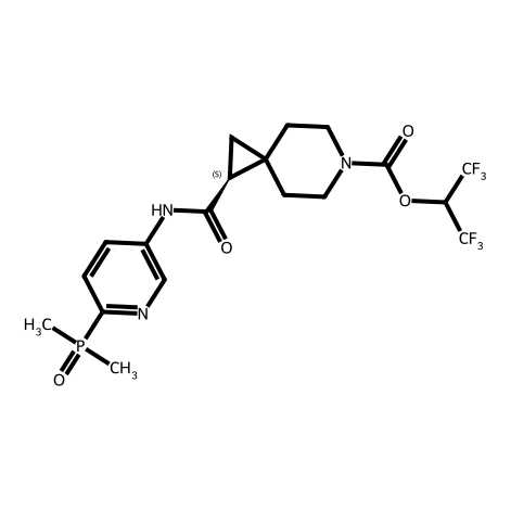 CP(C)(=O)c1ccc(NC(=O)[C@H]2CC23CCN(C(=O)OC(C(F)(F)F)C(F)(F)F)CC3)cn1